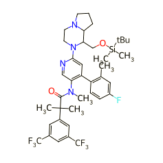 Cc1cc(F)ccc1-c1cc(N2CCN3CCCC3C2CO[Si](C)(C)C(C)(C)C)ncc1N(C)C(=O)C(C)(C)c1cc(C(F)(F)F)cc(C(F)(F)F)c1